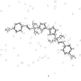 Cc1ccc(C=C[Si](C)(C)c2ccc(-c3ccc([Si](C)(C)C=Cc4ccc(C)cc4)o3)o2)cc1